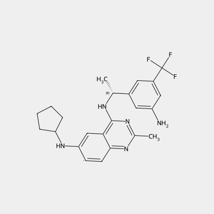 Cc1nc(N[C@H](C)c2cc(N)cc(C(F)(F)F)c2)c2cc(NC3CCCC3)[c]cc2n1